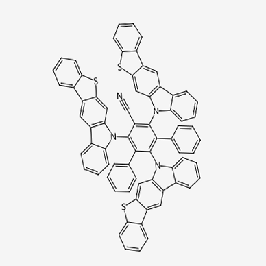 N#Cc1c(-n2c3ccccc3c3cc4c(cc32)sc2ccccc24)c(-c2ccccc2)c(-n2c3ccccc3c3cc4c(cc32)sc2ccccc24)c(-c2ccccc2)c1-n1c2ccccc2c2cc3c(cc21)sc1ccccc13